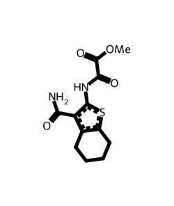 COC(=O)C(=O)Nc1sc2c(c1C(N)=O)CCCC2